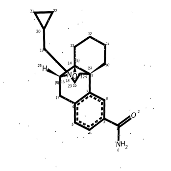 NC(=O)c1ccc2c(c1)[C@@]13CCCC[C@@]1(O)[C@@H](C2)N(CC1CC1)CC3